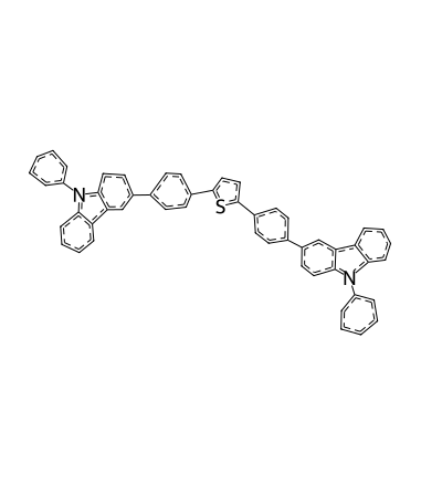 c1ccc(-n2c3ccccc3c3cc(-c4ccc(-c5ccc(-c6ccc(-c7ccc8c(c7)c7ccccc7n8-c7ccccc7)cc6)s5)cc4)ccc32)cc1